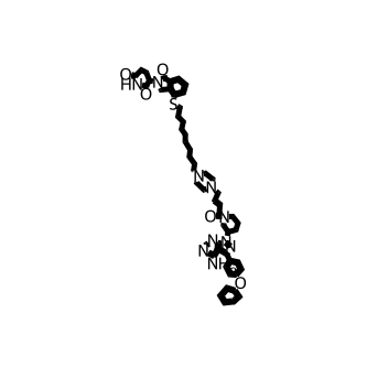 Nc1ncnc2c1c(-c1ccc(Oc3ccccc3)cc1)nn2C1CCCN(C(=O)/C=C/CN2CCN(CCCCCCCCCCSc3cccc4c3CN(C3CCC(=O)NC3=O)C4=O)CC2)C1